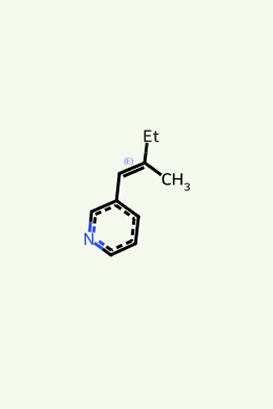 CC/C(C)=C/c1cccnc1